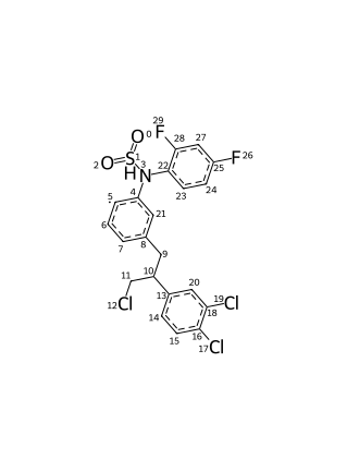 O=[SH](=O)N(c1[c]ccc(CC(CCl)c2ccc(Cl)c(Cl)c2)c1)c1ccc(F)cc1F